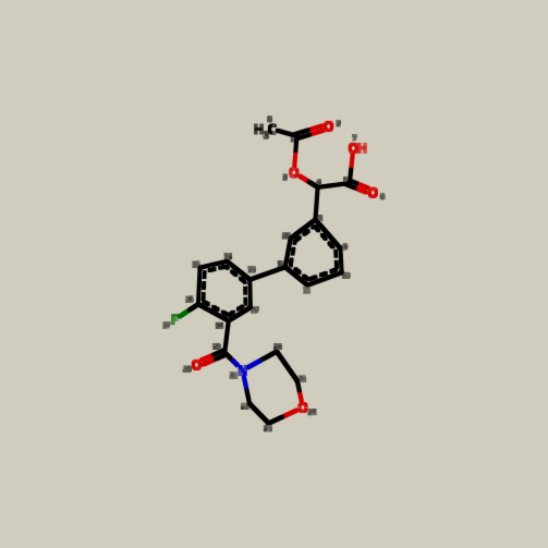 CC(=O)OC(C(=O)O)c1cccc(-c2ccc(F)c(C(=O)N3CCOCC3)c2)c1